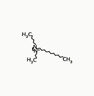 CCCCCCCCCCCCc1n(CCCCCC)cc[n+]1CCCC